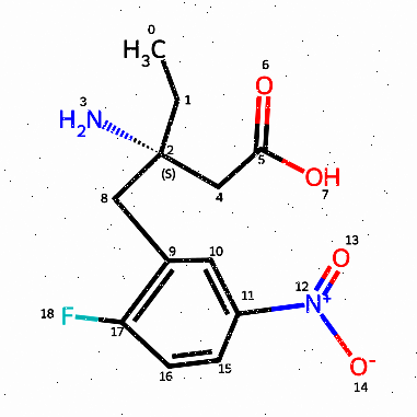 CC[C@@](N)(CC(=O)O)Cc1cc([N+](=O)[O-])ccc1F